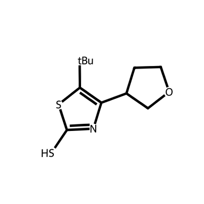 CC(C)(C)c1sc(S)nc1C1CCOC1